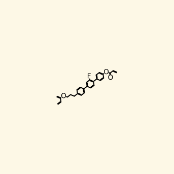 C=CC(=C)OCCCc1ccc(-c2ccc(-c3ccc(OC(=O)C=C)cc3)c(F)c2)cc1